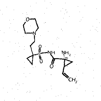 C=CC1C[C@]1(N)C(=O)NS(=O)(=O)C1(CCN2CCOCC2)CC1